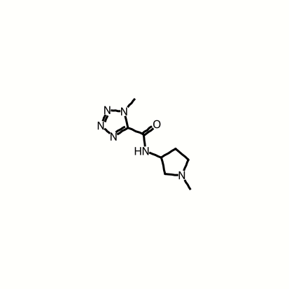 CN1CCC(NC(=O)c2nnnn2C)C1